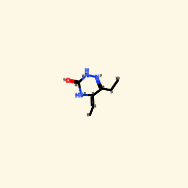 CC=C1NC(=O)NN=C1CC